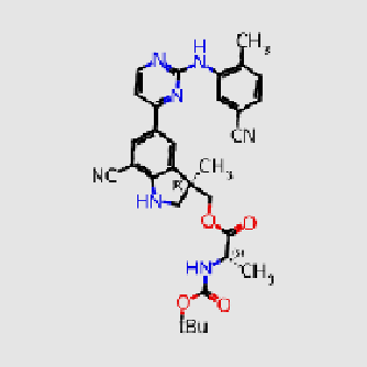 Cc1ccc(C#N)cc1Nc1nccc(-c2cc(C#N)c3c(c2)[C@@](C)(COC(=O)[C@H](C)NC(=O)OC(C)(C)C)CN3)n1